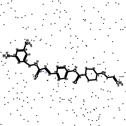 C=CCOC1CCC(C(=O)Oc2ccc(/C=C/C(=O)OCc3cc(N)cc(N)c3)cc2)CC1